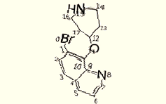 Brc1ccc2cccnc2c1OC1CCNCC1